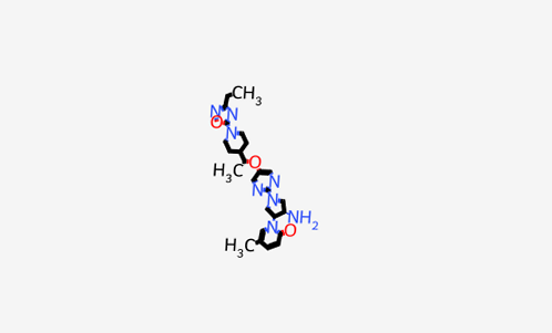 CCc1noc(N2CCC([C@H](C)Oc3cnc(N4C[C@H](N)[C@@H](n5cc(C)ccc5=O)C4)nc3)CC2)n1